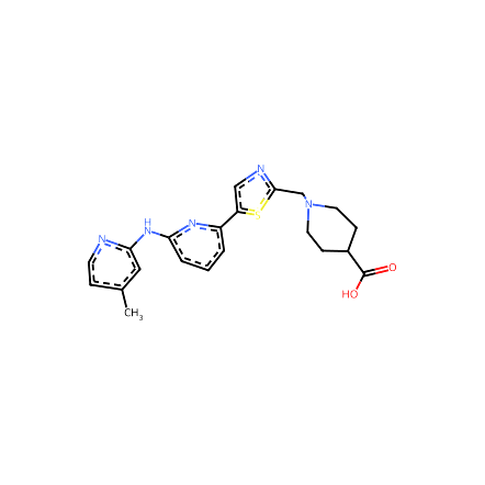 Cc1ccnc(Nc2cccc(-c3cnc(CN4CCC(C(=O)O)CC4)s3)n2)c1